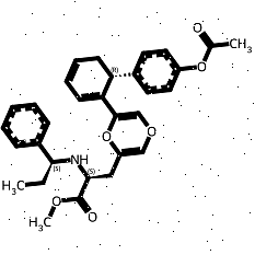 CC[C@H](N[C@@H](CC1=COC=C(C2=CC=CC[C@@H]2c2ccc(OC(C)=O)cc2)O1)C(=O)OC)c1ccccc1